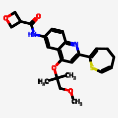 COCC(C)(C)Oc1cc(C2=CCCC=CS2)nc2ccc(NC(=O)C3COC3)cc12